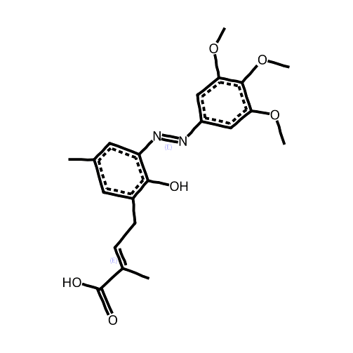 COc1cc(/N=N/c2cc(C)cc(C/C=C(\C)C(=O)O)c2O)cc(OC)c1OC